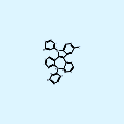 Clc1ccc2c(c1)c1c(n2-c2ccccc2)-c2ccccc2N(c2ccccc2)c2ccccc2-1